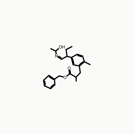 CCC(/C=N\C(C)O)c1ccc(C)c(CC(C)C(=O)OCc2ccccc2)c1